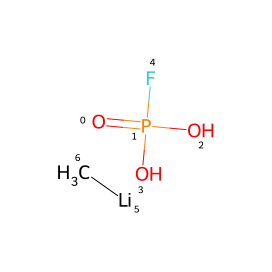 O=P(O)(O)F.[Li][CH3]